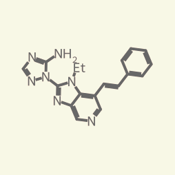 CCn1c(-n2ncnc2N)nc2cncc(C=Cc3ccccc3)c21